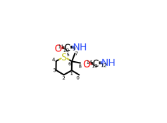 CC1CCCSC1(C)C.N=C=O.N=C=O